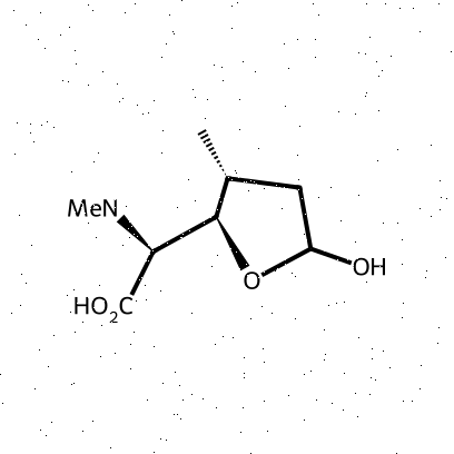 CN[C@H](C(=O)O)[C@@H]1OC(O)C[C@H]1C